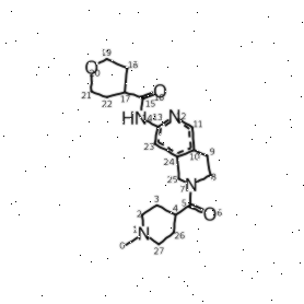 CN1CCC(C(=O)N2CCc3cnc(NC(=O)C4CCOCC4)cc3C2)CC1